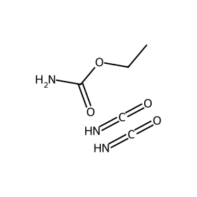 CCOC(N)=O.N=C=O.N=C=O